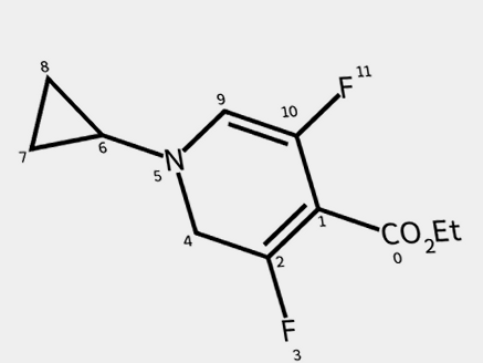 CCOC(=O)C1=C(F)CN(C2CC2)C=C1F